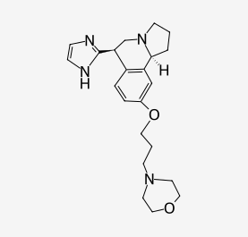 c1c[nH]c([C@H]2CN3CCC[C@H]3c3cc(OCCCN4CCOCC4)ccc32)n1